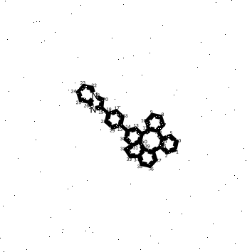 c1ccc2c(c1)c1ccccc1c1cc(-c3ccc(-c4cn5ccccc5n4)cc3)cc3ccc4cccc2c4c31